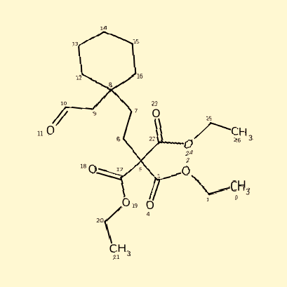 CCOC(=O)C(CCC1(CC=O)CCCCC1)(C(=O)OCC)C(=O)OCC